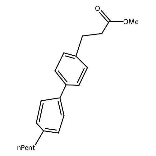 CCCCCc1ccc(-c2ccc(CCC(=O)OC)cc2)cc1